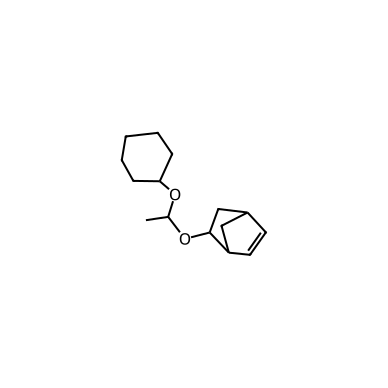 CC(OC1CCCCC1)OC1CC2C=CC1C2